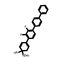 CCCCCCCCCCC1(CCC)C=CC(c2ccc(-c3ccc(-c4ccccc4)cc3)c(F)c2F)=CC1